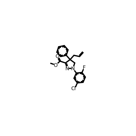 C=CCC1(c2ccccc2)CN(c2cc(Cl)ccc2F)N=C1C(=O)OC